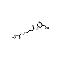 CONC(=O)CCCCCCC(=O)Nc1cncc(CO)c1